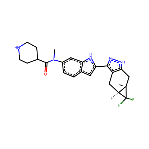 CN(C(=O)C1CCNCC1)c1ccc2cc(-c3n[nH]c4c3C[C@@H]3C(F)(F)[C@]3(C)C4)[nH]c2c1